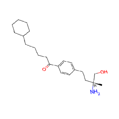 C[C@](N)(CO)CCc1ccc(C(=O)CCCCC2CCCCC2)cc1